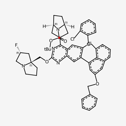 CC(C)(C)OC(=O)N1[C@@H]2CC[C@H]1CN(c1nc(OC[C@@]34CCCN3C[C@H](F)C4)nc3cc(-c4cc(OCc5ccccc5)cc5cccc(Cl)c45)c(Oc4ccccc4Cl)cc13)C2